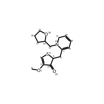 COC1=CSC(CC2=CC=CCN2CC2CCCO2)C1=O